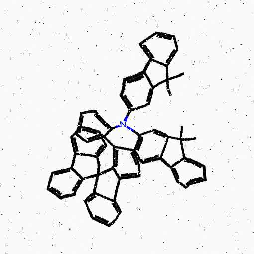 CC1(C)c2ccccc2-c2ccc(N(c3ccc4c(c3)C(C)(C)c3ccccc3-4)c3ccccc3-c3cccc4c3C3(c5ccccc5-c5ccccc53)c3ccccc3-4)cc21